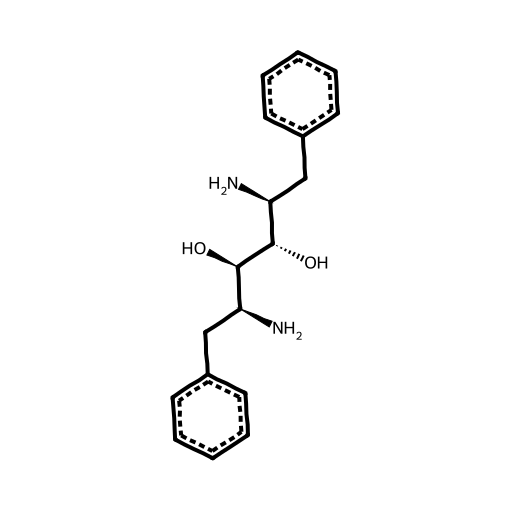 N[C@@H](Cc1ccccc1)[C@H](O)[C@H](O)[C@@H](N)Cc1ccccc1